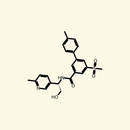 Cc1ccc(-c2cc(C(=O)N[C@H](CO)c3ccc(C)nc3)cc(S(C)(=O)=O)c2)cc1